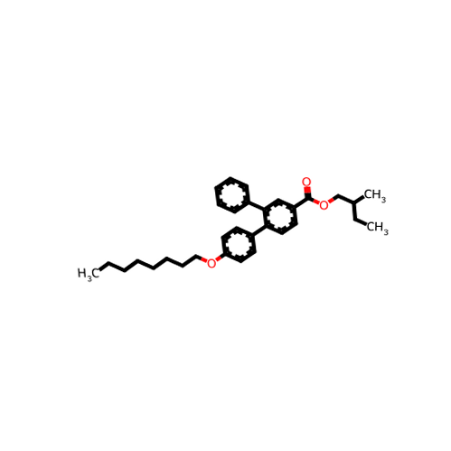 CCCCCCCCOc1ccc(-c2ccc(C(=O)OCC(C)CC)cc2-c2ccccc2)cc1